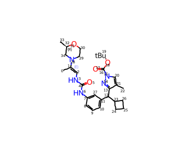 C/C(=C\NC(=O)Nc1cccc(C(c2nn(C(=O)OC(C)(C)C)cc2C)C2CCC2)c1)N1CCO[C@H](C)C1